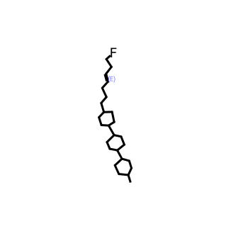 CC1CCC(C2CCC(C3CCC(CCC/C=C/CCF)CC3)CC2)CC1